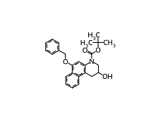 CC(C)(C)OC(=O)N1CC(O)Cc2c1cc(OCc1ccccc1)c1ccccc21